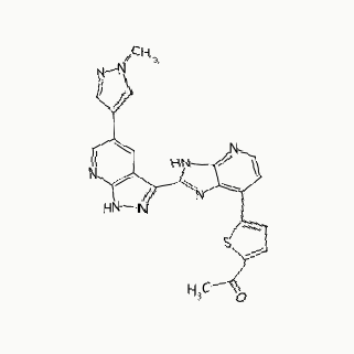 CC(=O)c1ccc(-c2ccnc3[nH]c(-c4n[nH]c5ncc(-c6cnn(C)c6)cc45)nc23)s1